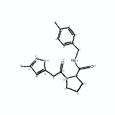 Cc1ccc(CNC(=O)C2CCCN2C(=O)Cc2cc(C)no2)cc1